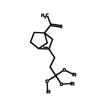 CCO[Si](CCC1=C2CCC(C(C)=S)(C2)C1)(OCC)OCC